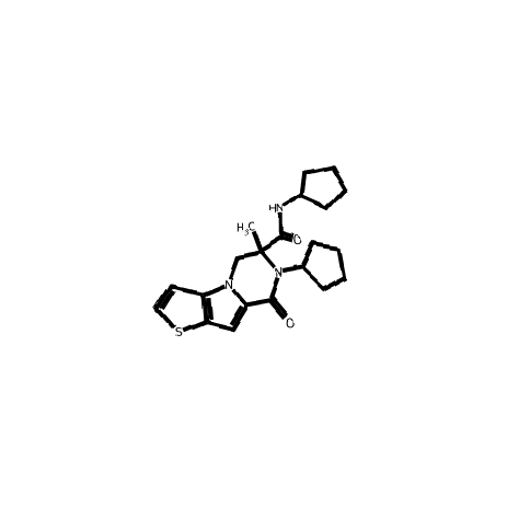 CC1(C(=O)NC2CCCC2)Cn2c(cc3sccc32)C(=O)N1C1CCCC1